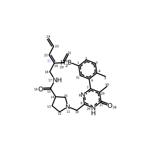 Bc1ccc(C)c(-c2nc(CN3CCC(C(=O)NC/C(C=C)=C/C=C)C3)[nH]c(=O)c2C)c1